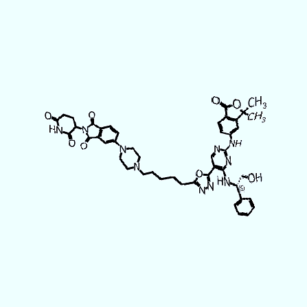 CC1(C)OC(=O)c2ccc(Nc3ncc(-c4nnc(CCCCCN5CCN(c6ccc7c(c6)C(=O)N(C6CCC(=O)NC6=O)C7=O)CC5)o4)c(N[C@H](CO)c4ccccc4)n3)cc21